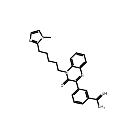 Cn1ccnc1CCCCCn1c(=O)c(-c2cccc(C(=N)N)c2)nc2ccccc21